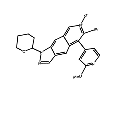 COc1cc(-c2c(C(C)C)[n+]([O-])cc3cc4c(cnn4C4CCCCO4)cc23)ccn1